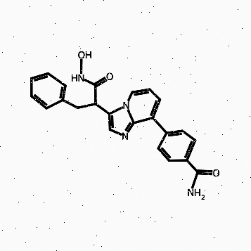 NC(=O)c1ccc(-c2cccn3c(C(Cc4ccccc4)C(=O)NO)cnc23)cc1